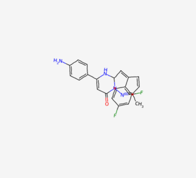 CC1=N/N2C(=O)C=C(c3ccc(N)cc3)NC2/C=C(c2ccc(F)cc2F)/C=C\1